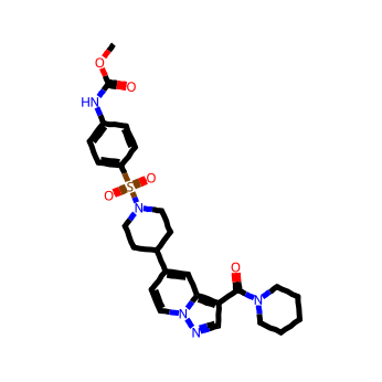 COC(=O)Nc1ccc(S(=O)(=O)N2CCC(c3ccn4ncc(C(=O)N5CCCCC5)c4c3)CC2)cc1